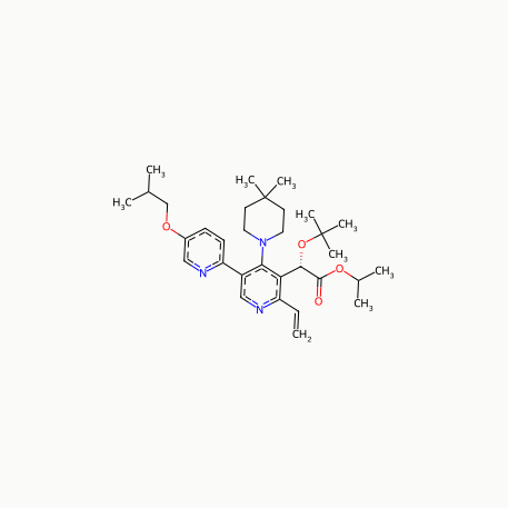 C=Cc1ncc(-c2ccc(OCC(C)C)cn2)c(N2CCC(C)(C)CC2)c1[C@H](OC(C)(C)C)C(=O)OC(C)C